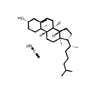 C=C=N.CC(C)CCC[C@@H](C)[C@H]1CC[C@H]2[C@@H]3CC=C4C[C@@H](O)CC[C@]4(C)[C@H]3CC[C@]12C